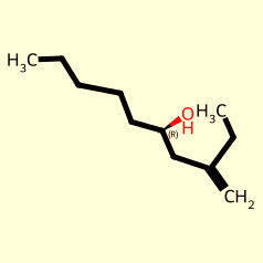 C=C(CC)C[C@H](O)CCCCC